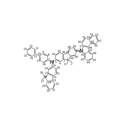 CC1(C)c2cc(N(c3ccc(-c4ccccc4)cc3)c3ccc4c(c3)C(C)(C)C3C=CC=CC43)ccc2-c2ccc(-n3c4ccccc4c4c5ccccc5ccc43)cc21